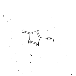 CC1=[C]C(=O)N=N1